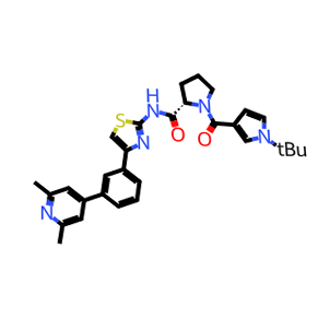 Cc1cc(-c2cccc(-c3csc(NC(=O)[C@@H]4CCCN4C(=O)c4ccn(C(C)(C)C)c4)n3)c2)cc(C)n1